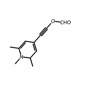 CC1=CC(C#COC=O)=CC(C)N1C